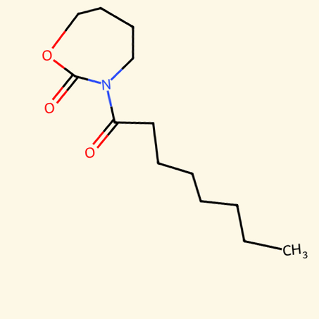 CCCCCCCC(=O)N1CCCCOC1=O